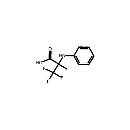 CC(Nc1ccccc1)(C(=O)O)C(F)(F)F